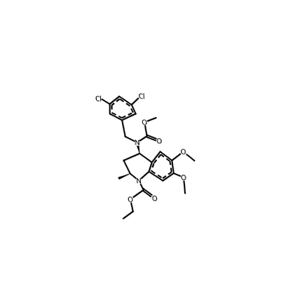 CCOC(=O)N1c2cc(OC)c(OC)cc2[C@H](N(Cc2cc(Cl)cc(Cl)c2)C(=O)OC)C[C@@H]1C